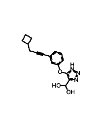 OC(O)c1nn[nH]c1Oc1cccc(C#CCC2CCC2)c1